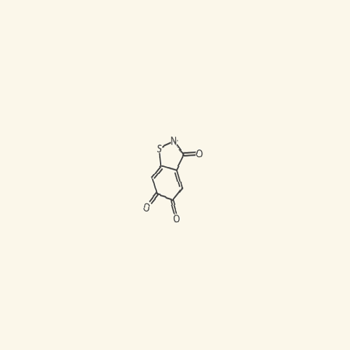 O=C1C=C2S[N]C(=O)C2=CC1=O